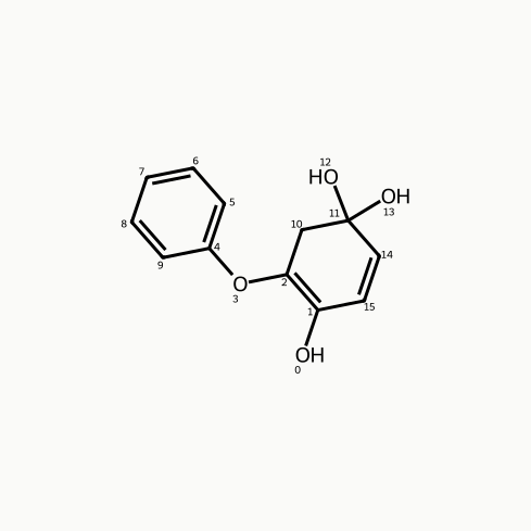 OC1=C(Oc2ccccc2)CC(O)(O)C=C1